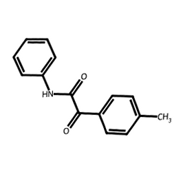 Cc1ccc(C(=O)C(=O)Nc2ccccc2)cc1